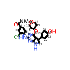 CNC(=O)c1ccc(Nc2nc(OC3CCOCC3)c3c(-c4ccc(O)cc4)c[nH]c3n2)c(Cl)c1